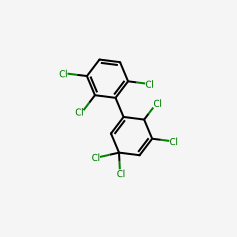 ClC1=CC(Cl)(Cl)C=C(c2c(Cl)ccc(Cl)c2Cl)C1Cl